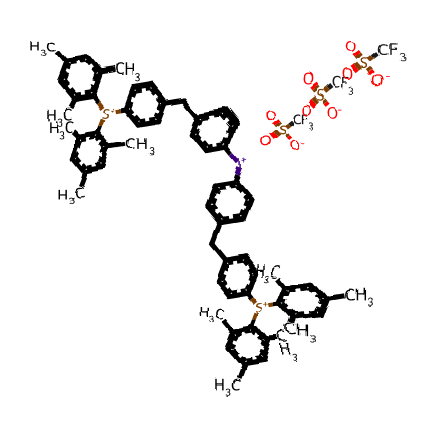 Cc1cc(C)c([S+](c2ccc(Cc3ccc([I+]c4ccc(Cc5ccc([S+](c6c(C)cc(C)cc6C)c6c(C)cc(C)cc6C)cc5)cc4)cc3)cc2)c2c(C)cc(C)cc2C)c(C)c1.O=S(=O)([O-])C(F)(F)F.O=S(=O)([O-])C(F)(F)F.O=S(=O)([O-])C(F)(F)F